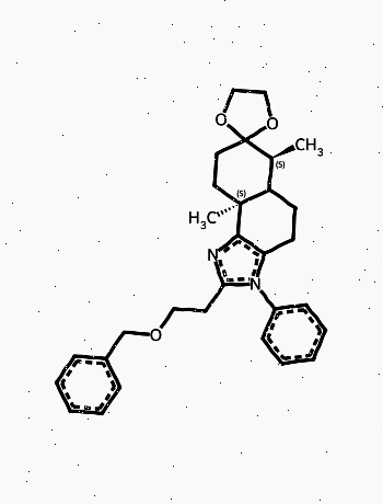 C[C@H]1C2CCc3c(nc(CCOCc4ccccc4)n3-c3ccccc3)[C@@]2(C)CCC12OCCO2